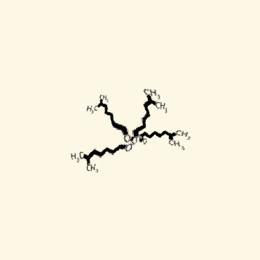 CC(C)CCCCC[O][Ti](=[O])([CH2]CCCCC(C)C)([CH2]CCCCC(C)C)[O]CCCCCC(C)C